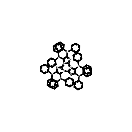 c1ccc(N(c2ccccc2)c2nc3n(c2N(c2ccccc2)c2ccccc2)c2nc(N(c4ccccc4)c4ccccc4)c(N(c4ccccc4)c4ccccc4)n2c2nc(N(c4ccccc4)c4ccccc4)c(N(c4ccccc4)c4ccccc4)n32)cc1